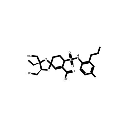 CCCc1cc(F)ccc1NS(=O)(=O)C1CCC2(C=C1C(=O)O)O[C@@H](CO)[C@](CC)(CO)O2